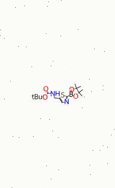 CC(C)(C)OC(=O)NCc1cnc(B2OC(C)(C)C(C)(C)O2)s1